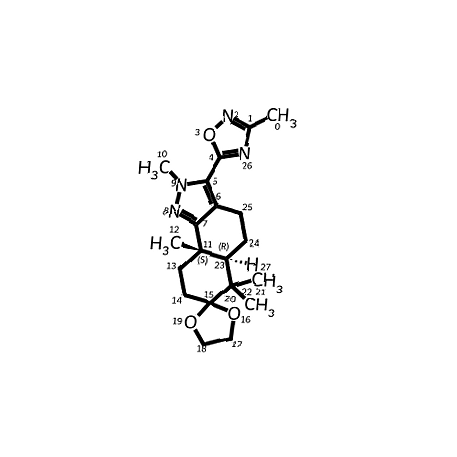 Cc1noc(-c2c3c(nn2C)[C@@]2(C)CCC4(OCCO4)C(C)(C)[C@@H]2CC3)n1